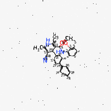 COc1ccccc1NC(=O)C1=C(C)NC(C)=C(C#N)C1c1ccc(-c2ccccc2)cc1